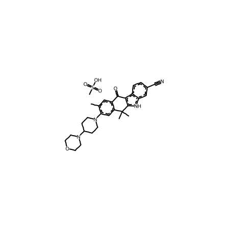 CS(=O)(=O)O.Cc1cc2c(cc1N1CCC(N3CCOCC3)CC1)C(C)(C)c1[nH]c3cc(C#N)ccc3c1C2=O